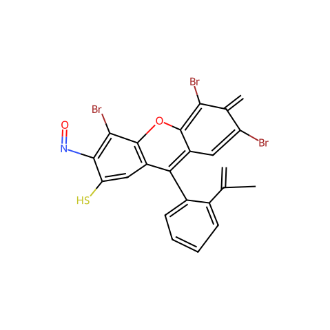 C=C(C)c1ccccc1C1=c2cc(Br)c(=C)c(Br)c2Oc2c1cc(S)c(N=O)c2Br